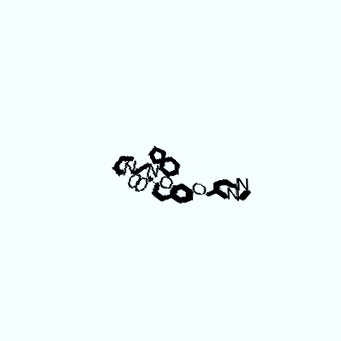 O=C(CN(C(=O)[C@H]1CCc2ccc(OCc3ccc4nccn4c3)cc2O1)[C@H]1CCCCC12CCCC2)N1CCCC1